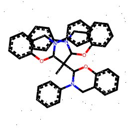 CC(C1Oc2ccccc2CN1c1ccccc1)(C1Oc2ccccc2CN1c1ccccc1)C1Oc2ccccc2CN1c1ccccc1